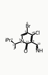 CC(C)[C@H](C)n1cc(Br)c(Cl)c(C=N)c1=O